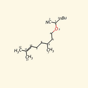 CCCCC(C#N)OCCC(C)CCC=C(C)C